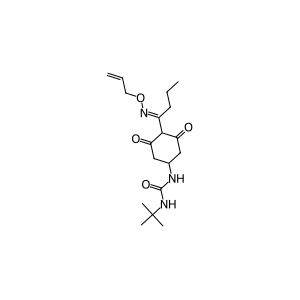 C=CCON=C(CCC)C1C(=O)CC(NC(=O)NC(C)(C)C)CC1=O